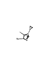 Cc1c(Br)ncn1C1CC1